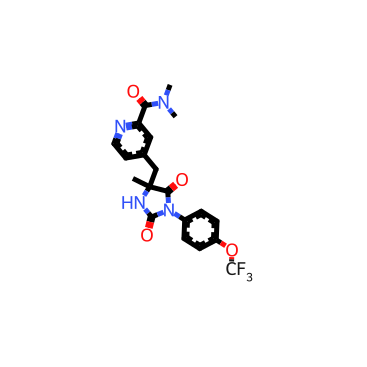 CN(C)C(=O)c1cc(CC2(C)NC(=O)N(c3ccc(OC(F)(F)F)cc3)C2=O)ccn1